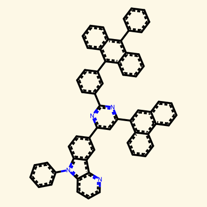 c1ccc(-c2c3ccccc3c(-c3cccc(-c4nc(-c5ccc6c(c5)c5ncccc5n6-c5ccccc5)cc(-c5cc6ccccc6c6ccccc56)n4)c3)c3ccccc23)cc1